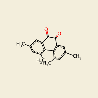 Cc1cc(C)c2c(c1)C(=O)C(=O)c1cc(C)cc(C)c1-2